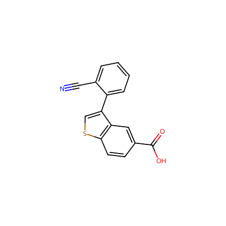 N#Cc1ccccc1-c1csc2ccc(C(=O)O)cc12